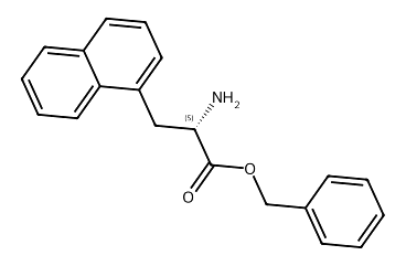 N[C@@H](Cc1cccc2ccccc12)C(=O)OCc1ccccc1